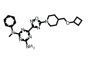 CN(c1ccccc1)c1nc(N)nc(-c2noc(N3CCC(COC4CCC4)CC3)n2)n1